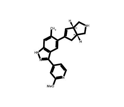 COc1cc(-c2n[nH]c3cc(C)c(C4=C[C@@H]5CNC[C@@H]5C4)cc23)ccn1